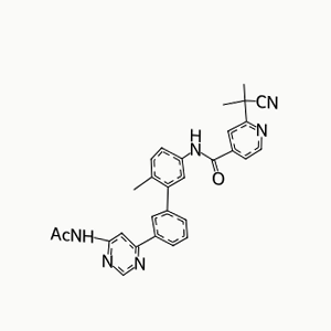 CC(=O)Nc1cc(-c2cccc(-c3cc(NC(=O)c4ccnc(C(C)(C)C#N)c4)ccc3C)c2)ncn1